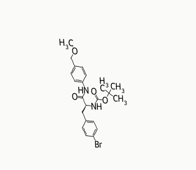 COCc1ccc(NC(=O)[C@H](Cc2ccc(Br)cc2)NC(=O)OC(C)(C)C)cc1